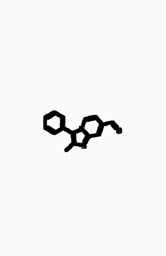 Cc1nc2cc(C=O)ccn2c1-c1ccccc1